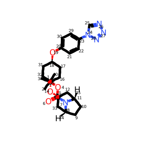 CC(C)(C)OC(=O)N1[C@@H]2CC[C@H]1C[C@H](O[C@H]1CC[C@H](Oc3ccc(-n4cnnn4)cc3)CC1)C2